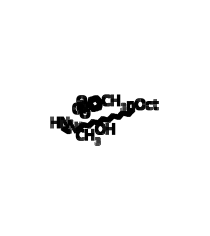 CCCCCCCC/C=C\CCCCCC(O)CCCC(C)[N+]1=CNCC1.Cc1ccc(S(=O)(=O)[O-])cc1